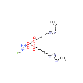 CC/C=C\C/C=C\C/C=C\CCCCCCCC(=O)OCC(COC(=O)CCCCCCC/C=C\C/C=C\CCCCC)OC(=O)NC1CN(CCF)C1